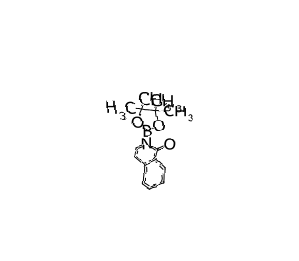 CC1(C)OB(n2ccc3ccccc3c2=O)OC1(C)C